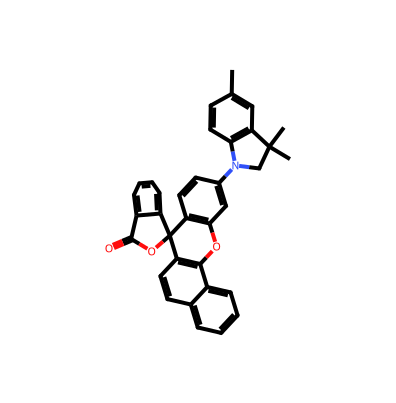 Cc1ccc2c(c1)C(C)(C)CN2c1ccc2c(c1)Oc1c(ccc3ccccc13)C21OC(=O)c2ccccc21